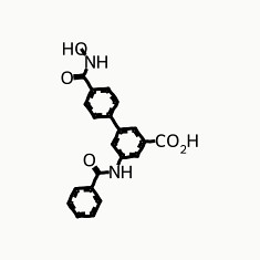 O=C(O)c1cc(NC(=O)c2ccccc2)cc(-c2ccc(C(=O)NO)cc2)c1